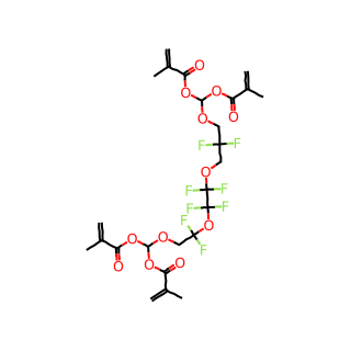 C=C(C)C(=O)OC(OCC(F)(F)COC(F)(F)C(F)(F)OC(F)(F)COC(OC(=O)C(=C)C)OC(=O)C(=C)C)OC(=O)C(=C)C